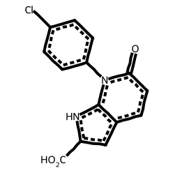 O=C(O)c1cc2ccc(=O)n(-c3ccc(Cl)cc3)c2[nH]1